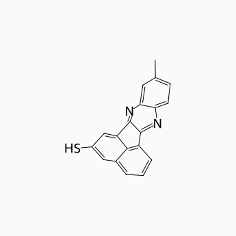 Cc1ccc2nc3c(nc2c1)-c1cc(S)cc2cccc-3c12